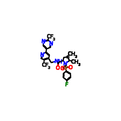 CC1[C@H](C)CC(C(=O)NCc2cc(-c3cnc(C(F)(F)F)nc3)ncc2C(F)(F)F)N1S(=O)(=O)c1ccc(F)cc1